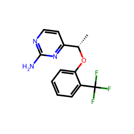 C[C@H](Oc1ccccc1C(F)(F)F)c1ccnc(N)n1